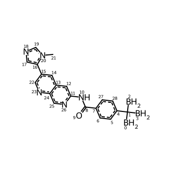 BC(B)(B)c1ccc(C(=O)Nc2cc3cc(-c4cncn4C)cnc3cn2)cc1